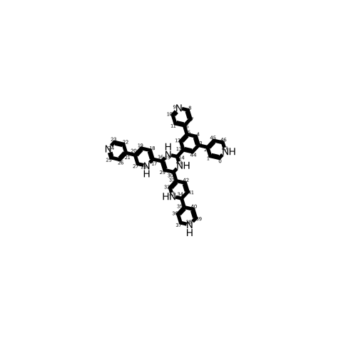 C1=CC(c2cc(-c3ccncc3)cc(C3NC(C4=CC=C(c5ccncc5)CN4)=CC(C4=CNC(C5=CCNC=C5)C=C4)N3)c2)=CCN1